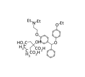 CC.CCOc1ccc(OC(c2ccccc2)c2ccc(OCCN(CC)CC)cc2)cc1.O=C(O)CC(O)(CC(=O)O)C(=O)O